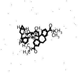 C[C@@H](CC1(c2nn(-c3ccc(F)cc3)c(=O)[nH]2)c2ccc(C(=O)N(C)C)cc2CCc2cc(C(=O)N(C)C)ccc21)NCC(=O)N1C(C#N)C[C@@H]2C[C@@H]21